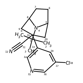 CC(C)(C)N1C2CCC1CC(C#N)(c1cncc(Cl)c1)C2